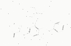 CCN(CC)CC.NC(Cc1cc(Br)c(OCc2ccccc2Cl)c(Br)c1)C(=O)O